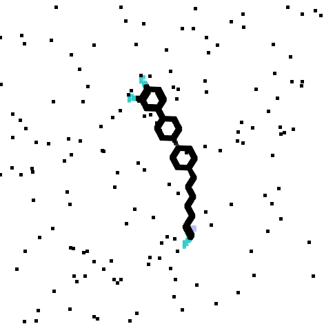 F/C=C/CCCCC[C@H]1CC[C@H](C2CCC(c3ccc(F)c(F)c3)CC2)CC1